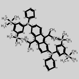 CC(C)c1c2ccc(N(c3ccccc3)c3cc([Si](C)(C)C)cc([Si](C)(C)C)c3)cc2c(C(C)C)c2ccc(N(c3ccccc3)c3cc([Si](C)(C)C)cc([Si](C)(C)C)c3)cc12